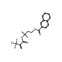 C=C(C(=O)OC(C)(C)CCOC(=O)c1ccc2ccccc2c1)C(F)(F)F